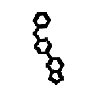 c1ccc(Oc2ncc(-c3ccc4nccn4n3)cn2)cc1